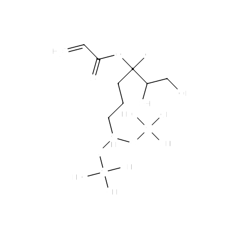 C=CC(=O)OC(C)(CCC[SiH](O[Si](C)(C)C)O[Si](C)(C)C)C(O)CO